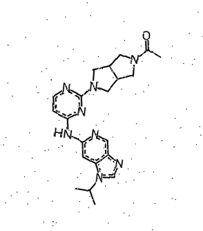 CC(=O)N1CC2CN(c3nccc(Nc4cc5c(cn4)ncn5C(C)C)n3)CC2C1